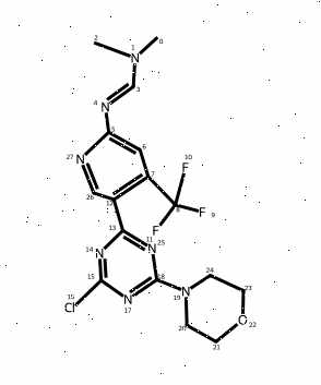 CN(C)C=Nc1cc(C(F)(F)F)c(-c2nc(Cl)nc(N3CCOCC3)n2)cn1